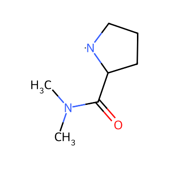 CN(C)C(=O)C1CCC[N]1